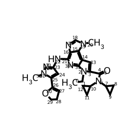 CCn1c(C(=O)N(C2CC2)C2CC2)cc2c3c(ncn3C)c(Nc3cc(C4=CCCO4)n(C)n3)nc21